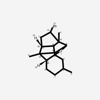 CC1CC[C@H]2C3(C1)OC1CC2(C)[C@@H]2CC(C(C)C)C1(C)C23